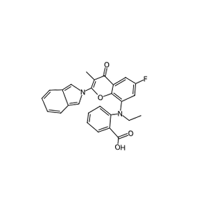 CCN(c1ccccc1C(=O)O)c1cc(F)cc2c(=O)c(C)c(-n3cc4ccccc4c3)oc12